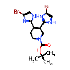 CC(C)(C)OC(=O)N1CCC(c2nc(Br)c[nH]2)C(c2nc(Br)c[nH]2)C1